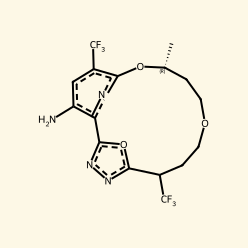 C[C@@H]1CCOCCC(C(F)(F)F)c2nnc(o2)-c2nc(c(C(F)(F)F)cc2N)O1